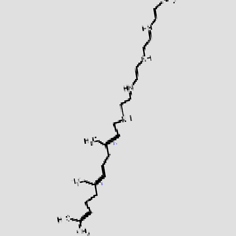 CC(C)=CCC/C(C)=C/CC/C(C)=C/CNCCNCCNCCNCCN